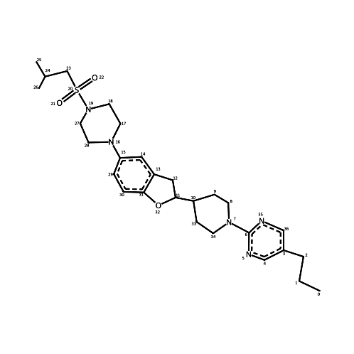 CCCc1cnc(N2CCC(C3Cc4cc(N5CCN(S(=O)(=O)CC(C)C)CC5)ccc4O3)CC2)nc1